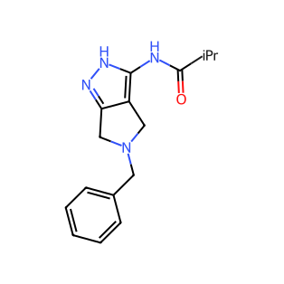 CC(C)C(=O)Nc1[nH]nc2c1CN(Cc1ccccc1)C2